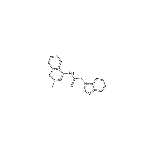 Cc1cc(NC(=O)Cn2ccc3ccccc32)c2ccccc2n1